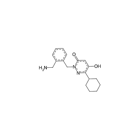 NCc1ccccc1Cn1nc(C2CCCCC2)c(O)cc1=O